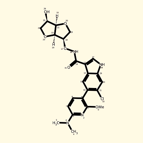 COc1nc(N(C)C)ccc1-c1cc2c(C(=O)NO[C@@H]3CO[C@H]4[C@@H]3OC[C@H]4O)c[nH]c2cc1Cl